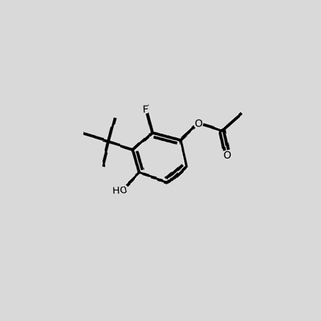 CC(=O)Oc1ccc(O)c(C(C)(C)C)c1F